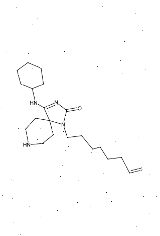 C=CCCCCCCN1C(=O)N=C(NC2CCCCC2)C12CCNCC2